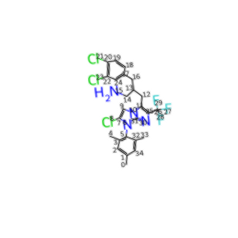 Cc1cc(C)c(-n2c(Cl)cn3c(CC(CN)Cc4ccc(Cl)c(Cl)c4)c(C(F)(F)F)nc23)c(C)c1